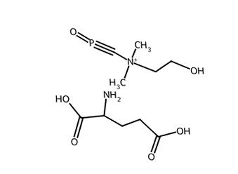 C[N+](C)(C#P=O)CCO.NC(CCC(=O)O)C(=O)O